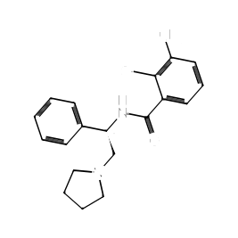 O=C(N[C@@H](CN1CCCC1)c1ccccc1)c1cccc(C(F)(F)F)c1Cl